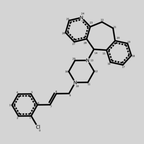 Clc1ccccc1C=CCN1CCN(C2c3ccccc3CCc3ncccc32)CC1